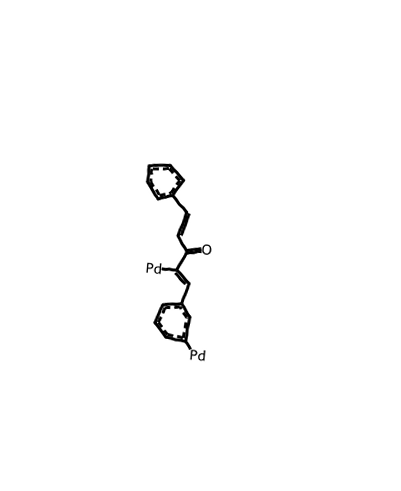 O=C(C=Cc1ccccc1)[C]([Pd])=Cc1ccc[c]([Pd])c1